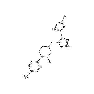 CC(=O)c1c[nH]c(-c2n[nH]cc2CN2CCN(c3ccc(C(F)(F)F)cn3)[C@H](C)C2)c1